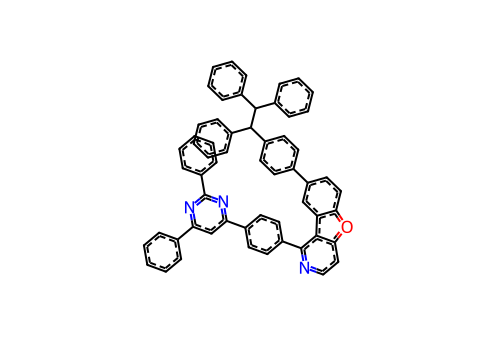 c1ccc(-c2cc(-c3ccc(-c4nccc5oc6ccc(-c7ccc(C(c8ccccc8)C(c8ccccc8)c8ccccc8)cc7)cc6c45)cc3)nc(-c3ccccc3)n2)cc1